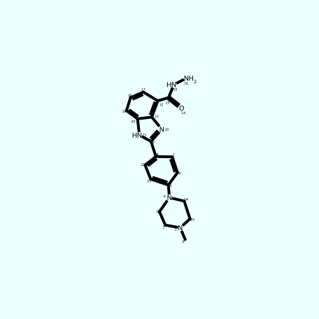 CN1CCN(c2ccc(-c3nc4c(C(=O)NN)cccc4[nH]3)cc2)CC1